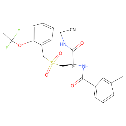 Cc1cccc(C(=O)N[C@@H](CS(=O)(=O)Cc2ccccc2OC(C)(F)F)C(=O)NCC#N)c1